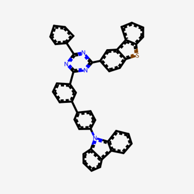 c1ccc(-c2nc(-c3cccc(-c4ccc(-n5c6ccccc6c6ccccc65)cc4)c3)nc(-c3ccc4sc5ccccc5c4c3)n2)cc1